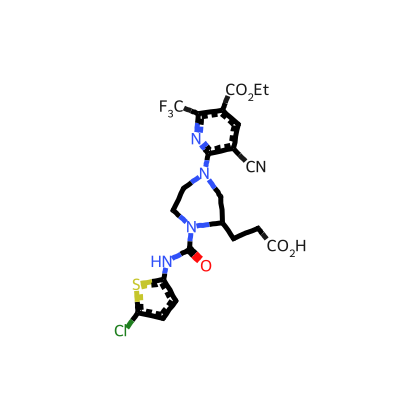 CCOC(=O)c1cc(C#N)c(N2CCN(C(=O)Nc3ccc(Cl)s3)C(CCC(=O)O)C2)nc1C(F)(F)F